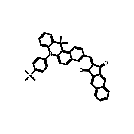 CC1(C)c2ccccc2N(c2ccc([Si](C)(C)C)cc2)c2ccc3cc(C=C4C(=O)c5cc6ccccc6cc5C4=O)ccc3c21